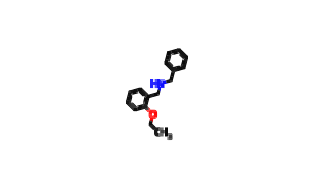 CCOc1ccccc1CNCc1ccccc1